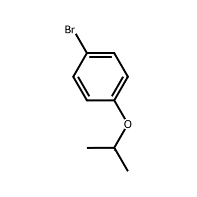 C[C](C)Oc1ccc(Br)cc1